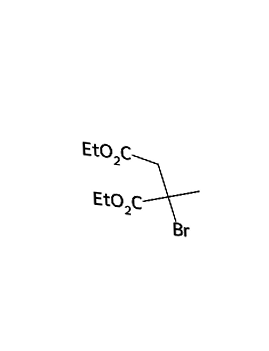 CCOC(=O)CC(C)(Br)C(=O)OCC